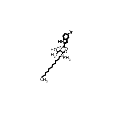 CCCCCCCCCCCCN(C)C(=O)[C@@H](NC(=O)c1cc2cc(Br)ccc2[nH]1)[C@@H](C)O